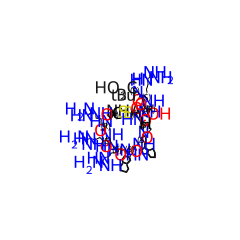 CC(=O)N[C@H]1CSSC(C)(C)[C@@H](C(=O)N[C@H](C(=O)N[C@@H](CCCNC(=N)N)C(=O)N[C@H](C(=O)O)C(C)(C)C)[C@@H](C)O)NC(=O)[C@@H]2CCCN2C(=O)[C@H](Cc2c[nH]c3ccccc23)NC(=O)[C@H](Cc2ccc3ccccc3c2)NC(=O)[C@H](CCCNC(=N)N)NC(=O)[C@H](CCCNC(=N)N)NC(=O)[C@@H](CCCNC(=N)N)NC1=O